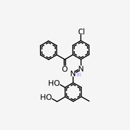 Cc1cc(CO)c(O)c(/N=N/c2ccc(Cl)cc2C(=O)c2ccccc2)c1